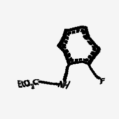 C[CH]OC(=O)Nc1ccccc1F